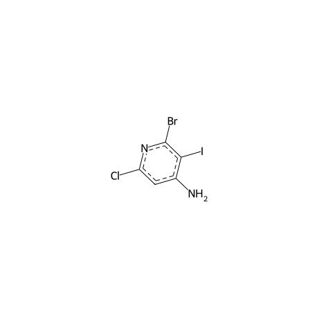 Nc1cc(Cl)nc(Br)c1I